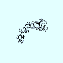 CC1(c2cccc(NC(=O)c3ccc(C#N)cn3)n2)COC(C)(C(F)(F)F)C(N)=N1